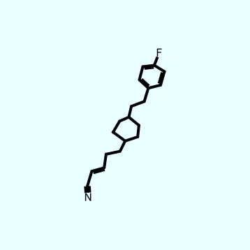 N#CC=CCCC1CCC(CCc2ccc(F)cc2)CC1